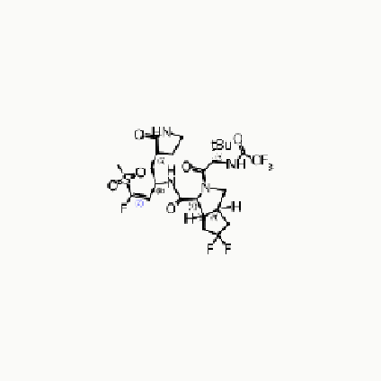 CC(C)(C)[C@H](NC(=O)C(F)(F)F)C(=O)N1C[C@@H]2CC(F)(F)C[C@@H]2[C@H]1C(=O)N[C@@H](/C=C(/F)S(C)(=O)=O)C[C@@H]1CCNC1=O